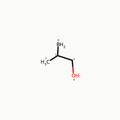 BC(C)CO